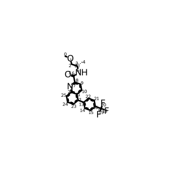 COC[C@H](C)NC(=O)c1ccc2c(-c3ccc(C(F)(F)F)cc3)cccc2n1